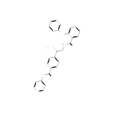 NC(CNC(=O)c1ccccc1Oc1ccccc1)c1ccc(C(=O)Nc2ccncc2)cc1